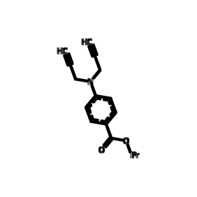 C#CCN(CC#C)c1ccc(C(=O)OC(C)C)cc1